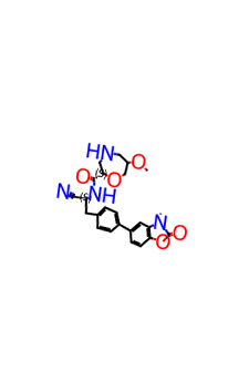 COC1CNC[C@@H](C(=O)N[C@H](C#N)Cc2ccc(-c3ccc4oc(=O)n(C)c4c3)cc2)OC1